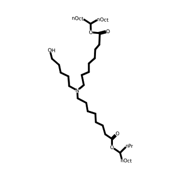 CCCCCCCCC(CCC)OC(=O)CCCCCCCN(CCCCCO)CCCCCCCC(=O)OC(CCCCCCCC)CCCCCCCC